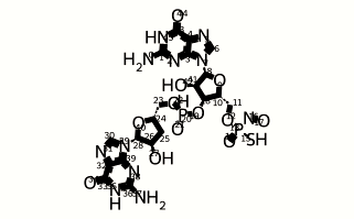 Nc1nc2c(ncn2[C@@H]2O[C@H](CO[P@@](=O)(S)N=O)[C@@H](O[PH](=O)OC[C@@H]3C[C@@H](O)[C@H](n4cnc5c(=O)[nH]c(N)nc54)O3)[C@H]2O)c(=O)[nH]1